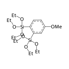 CCO[Si](OCC)(OCC)c1ccc(OC)cc1[Si](OCC)(OCC)OCC